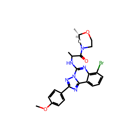 COc1ccc(-c2nc3c4cccc(Br)c4nc(NC(C)C(=O)N4CCO[C@@H](C)C4)n3n2)cc1